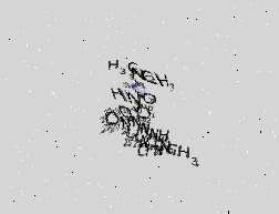 CN(C)C/C=C/C(=O)Nc1cccc(N2C(=O)N(c3ccccc3)CCc3cnc(Nc4cn(C)nc4Cl)nc32)c1